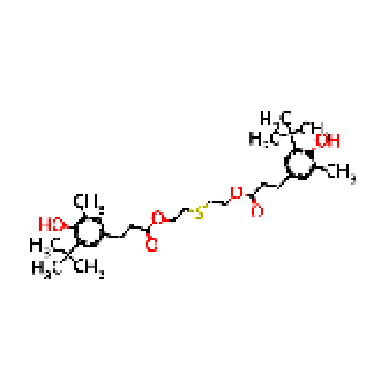 Cc1cc(CCC(=O)OCCSCCOC(=O)CCc2cc(C)c(O)c(C(C)(C)C)c2)cc(C(C)(C)C)c1O